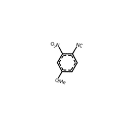 [C-]#[N+]c1ccc(OC)cc1[N+](=O)[O-]